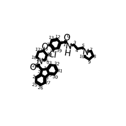 O=C(NCCCN1CCCC1)c1ccc(OC2CCN(C(=O)C3c4ccccc4-c4ccccc43)CC2)c(Cl)c1